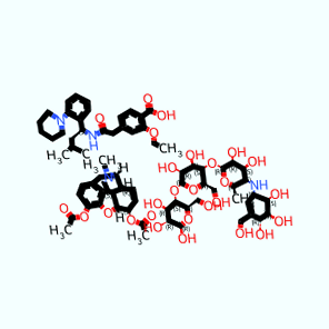 CC(=O)Oc1ccc2c3c1O[C@H]1[C@@H](OC(C)=O)C=C[C@H]4[C@@H](C2)N(C)CC[C@@]341.CCOc1cc(CC(=O)N[C@@H](CC(C)C)c2ccccc2N2CCCCC2)ccc1C(=O)O.C[C@H]1O[C@H](O[C@H]2[C@H](O)[C@@H](O)[C@@H](O[C@H]3[C@H](O)[C@@H](O)[C@H](O)O[C@@H]3CO)O[C@@H]2CO)[C@H](O)[C@@H](O)[C@@H]1N[C@H]1C=C(CO)[C@@H](O)[C@H](O)[C@H]1O